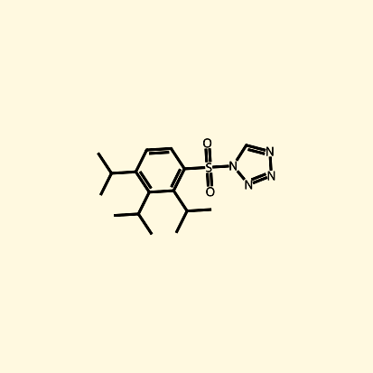 CC(C)c1ccc(S(=O)(=O)n2cnnn2)c(C(C)C)c1C(C)C